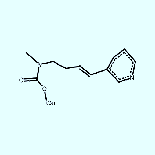 CN(CCC=Cc1cccnc1)C(=O)OC(C)(C)C